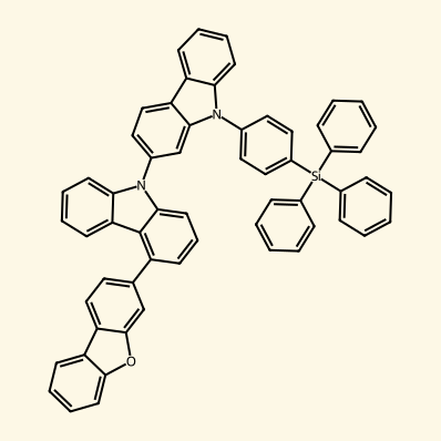 c1ccc([Si](c2ccccc2)(c2ccccc2)c2ccc(-n3c4ccccc4c4ccc(-n5c6ccccc6c6c(-c7ccc8c(c7)oc7ccccc78)cccc65)cc43)cc2)cc1